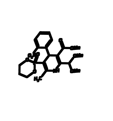 COC(=O)C1=C(C(OC)OC)NC(C)=C(P2(=O)OCCCO2)C1c1ccccc1[N+](=O)[O-]